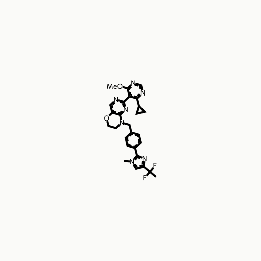 COc1ncnc(C2CC2)c1-c1ncc2c(n1)N(Cc1ccc(-c3nc(C(C)(F)F)cn3C)cc1)CCO2